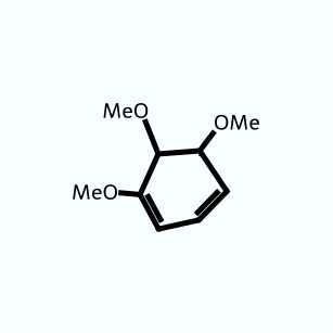 CO[C]1C=CC=C(OC)C1OC